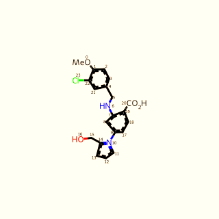 COc1ccc(CNc2cc(-n3cccc3CO)ccc2C(=O)O)cc1Cl